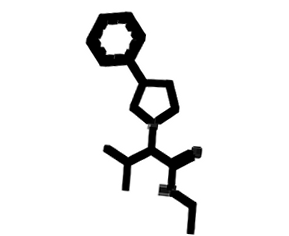 CCNC(=O)C(C(C)C)N1CCC(c2ccccc2)C1